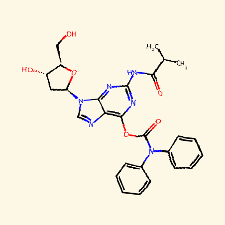 CC(C)C(=O)Nc1nc(OC(=O)N(c2ccccc2)c2ccccc2)c2ncn([C@H]3C[C@H](O)[C@@H](CO)O3)c2n1